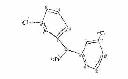 CCCC(c1cccc(Cl)c1)c1cccc(Cl)c1